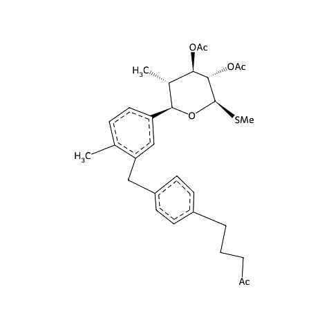 CS[C@H]1O[C@@H](c2ccc(C)c(Cc3ccc(CCCC(C)=O)cc3)c2)[C@H](C)[C@@H](OC(C)=O)[C@@H]1OC(C)=O